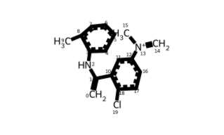 C=C(Nc1ccccc1C)c1cc([N+](=C)C)ccc1Cl